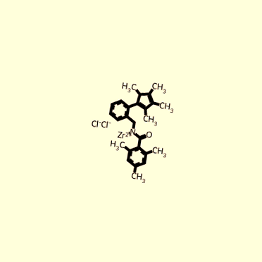 CC1=C(C)C(C)C(c2ccccc2C[N]([Zr+2])C(=O)c2c(C)cc(C)cc2C)=C1C.[Cl-].[Cl-]